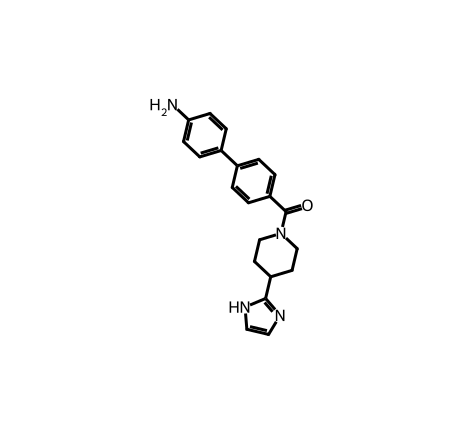 Nc1ccc(-c2ccc(C(=O)N3CCC(c4ncc[nH]4)CC3)cc2)cc1